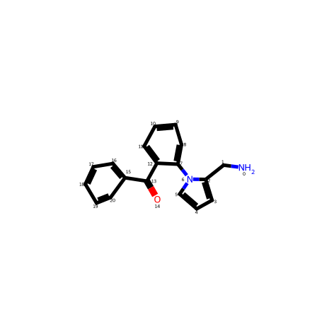 NCc1cccn1-c1ccccc1C(=O)c1ccccc1